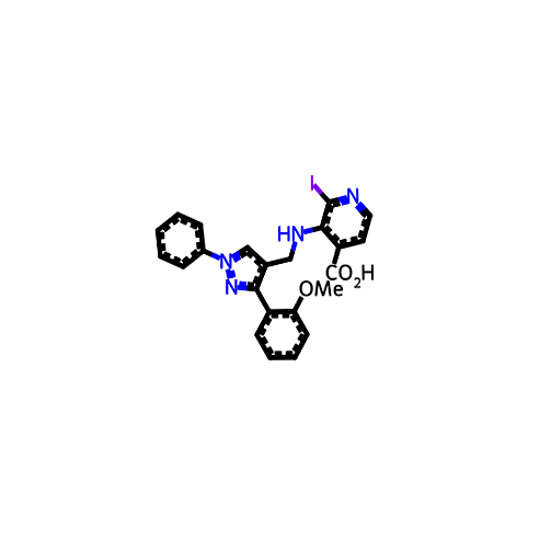 COc1ccccc1-c1nn(-c2ccccc2)cc1CNc1c(C(=O)O)ccnc1I